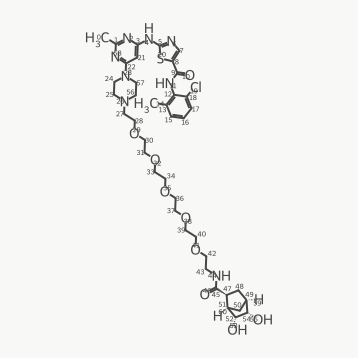 Cc1nc(Nc2ncc(C(=O)Nc3c(C)cccc3Cl)s2)cc(N2CCN(CCOCCOCCOCCOCCOCCNC(=O)[C@H]3C[C@@H]4C[C@H]3[C@@H](O)[C@H]4O)CC2)n1